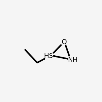 CC[SH]1NO1